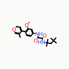 COc1cc(NC(=O)C(=O)NC(C)(C)CC(C)(C)C)ccc1C1=CCOC=C1C